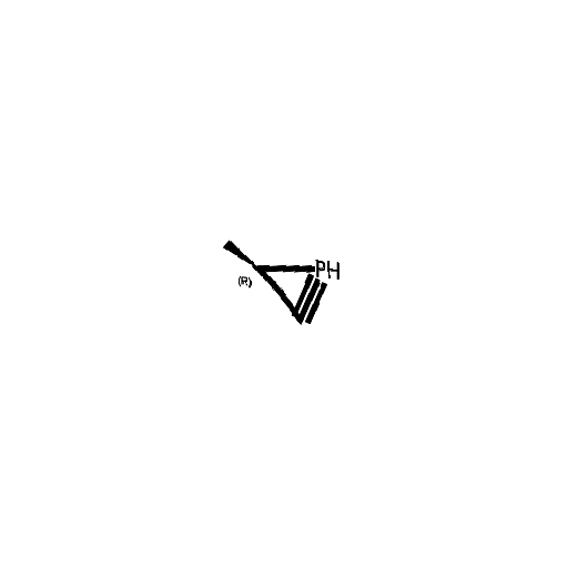 C[C@@H]1C#[PH]1